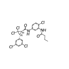 CCCC(=O)Nc1cc(NC(=O)[C@H]2[C@H](c3cc(Cl)cc(Cl)c3)C2(Cl)Cl)ccc1Cl